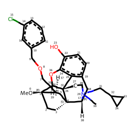 CO[C@]12CC[C@@]3(C[C@@H]1COCc1cccc(Cl)c1)[C@H]1Cc4ccc(O)c5c4[C@@]3(CC[N+]1(C)CC1CC1)[C@H]2O5